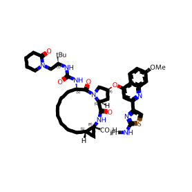 COc1ccc2c(O[C@@H]3C[C@H]4C(=O)N[C@]5(C(=O)O)C[C@@H]5CCCCCCC[C@H](NC(=O)N[C@H](CN5CCCCC5=O)C(C)(C)C)C(=O)N4C3)cc(-c3csc(NC(C)C)n3)nc2c1